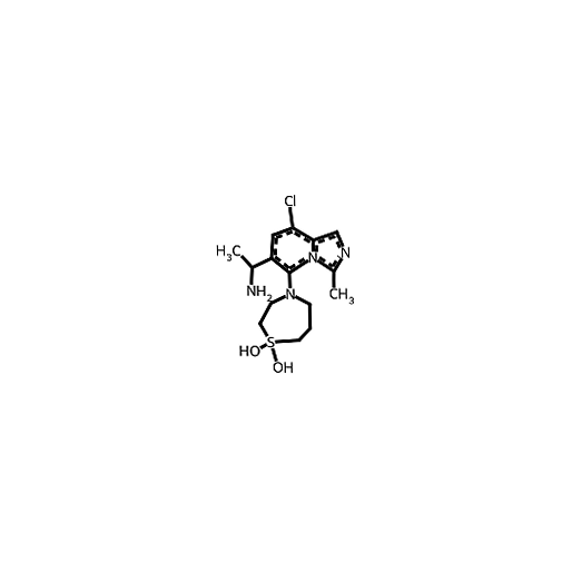 Cc1ncc2c(Cl)cc(C(C)N)c(N3CCCS(O)(O)CC3)n12